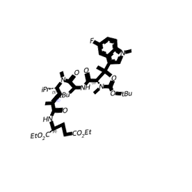 CCOC(=O)CC[C@@H](NC(=O)/C(C)=C/[C@H](C(C)C)N(C)C(=O)C(NC(=O)[C@@H](N(C)C(=O)OC(C)(C)C)C(C)(C)c1cn(C)c2ccc(F)cc12)C(C)(C)C)C(=O)OCC